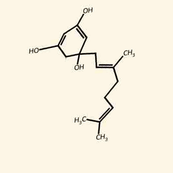 CC(C)=CCC/C(C)=C/CC1(O)[CH]C(O)=CC(O)=C1